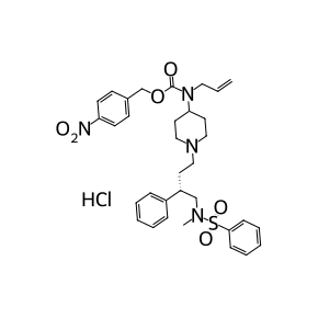 C=CCN(C(=O)OCc1ccc([N+](=O)[O-])cc1)C1CCN(CC[C@H](CN(C)S(=O)(=O)c2ccccc2)c2ccccc2)CC1.Cl